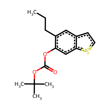 CCCc1cc2ccsc2cc1OC(=O)OC(C)(C)C